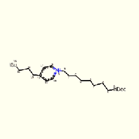 CCCCCCCCCCCCCCCCCC[n+]1ccc(CCCC(C)CC)cc1